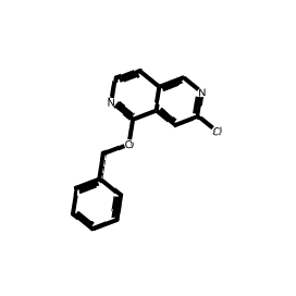 Clc1cc2c(OCc3ccccc3)nccc2cn1